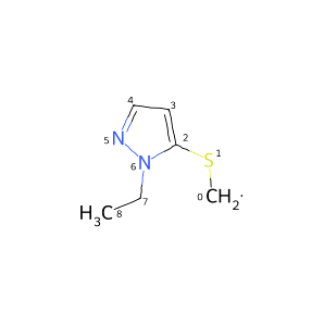 [CH2]Sc1ccnn1CC